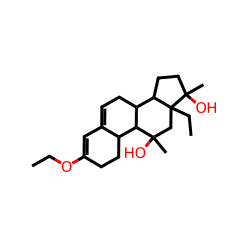 CCOC1=CC2=CCC3C(C2CC1)C(C)(O)CC1(CC)C3CCC1(C)O